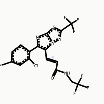 O=C(/C=C/c1c(-c2ccc(F)cc2Cl)nc2sc(C(F)(F)F)nn12)NCC(F)(F)F